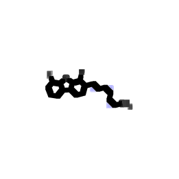 C\C=C/C=C\C=C\c1ccc2c(oc3c(F)cccc32)c1F